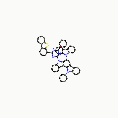 c1ccc(-c2nc(-c3cccc4c3sc3ccccc34)nc(-n3c4ccccc4c4c3c(-n3c5ccccc5c5ccccc53)cc3c5ccccc5n(-c5ccccc5)c34)n2)cc1